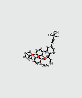 CCC(C)(O)C#CC1=CN/C(=C(/C#N)C=N)C(c2ccc(N3CC4CC(C3)N4Cc3cnc(OC)c(F)c3)nc2)=C1